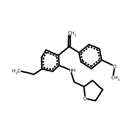 C=C(c1ccc(OC)cc1)c1ccc(CC)cc1NCC1CCCO1